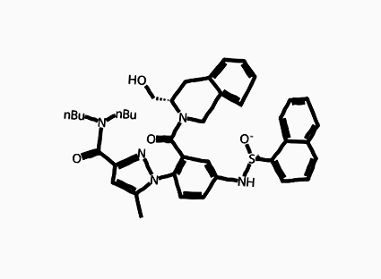 CCCCN(CCCC)C(=O)c1cc(C)n(-c2ccc(N[S+]([O-])c3cccc4ccccc34)cc2C(=O)N2Cc3ccccc3C[C@H]2CO)n1